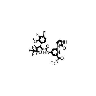 COc1c([C@H]2[C@H](C(=O)Nc3cc(C(N)=O)nc(-n4cc[nH]c4=O)c3)O[C@@](C)(C(F)(F)F)[C@H]2C)ccc(F)c1F